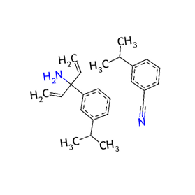 C=CC(N)(C=C)c1cccc(C(C)C)c1.CC(C)c1cccc(C#N)c1